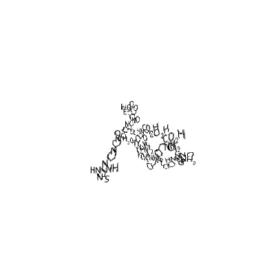 CCc1c2c(nc3ccc(OC(=O)N4CCC(N5CCCCC5)CC4)cc13)-c1cc3c(c(=O)n1C2)COC(=O)[C@]3(O)CC.CN(Cc1cnc2nc(N)nc(N)c2n1)c1ccc(C(=O)N[C@@H](CCC(=O)O)C(=O)O)cc1.NP=O.N[C@@H](Cc1ccc(N(CCCl)CCCl)cc1)C(=O)O.O=NN(CCCl)C(=O)NC1CCCCC1.S=c1nc[nH]c2nc[nH]c12